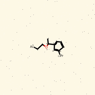 CC(=O)CCOC(C)c1cccc(C(C)C)c1